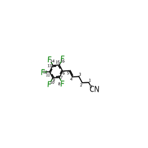 N#CCCC/C=C/c1c(F)c(F)c(F)c(F)c1F